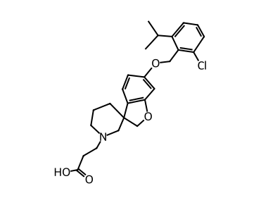 CC(C)c1cccc(Cl)c1COc1ccc2c(c1)OCC21CCCN(CCC(=O)O)C1